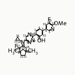 COc1ncc(-c2ccc(-c3ncc(N(C4CC4)[C@@H]4C[C@@]5(C)CC[C@](C)(C5)[C@@H]4F)nn3)c(O)c2)cc1F